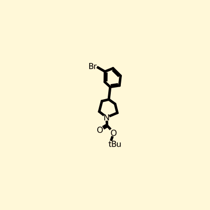 CC(C)(C)OC(=O)N1CCC(c2cccc(Br)c2)CC1